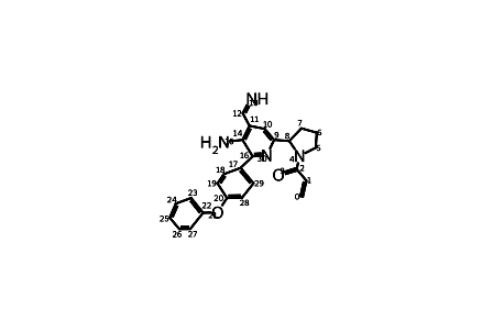 C=CC(=O)N1CCCC1c1cc(C=N)c(N)c(-c2ccc(Oc3ccccc3)cc2)n1